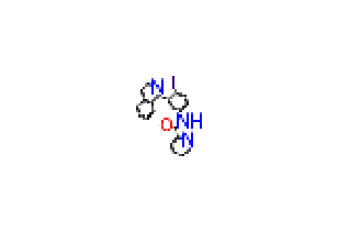 O=C(Nc1ccc(I)c(-c2nccc3ccccc23)c1)c1ccccn1